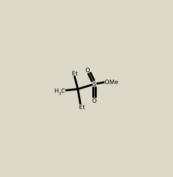 CCC(C)(CC)S(=O)(=O)OC